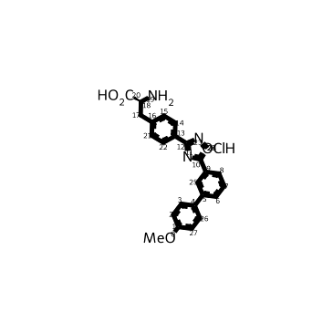 COc1ccc(-c2cccc(-c3nc(-c4ccc(C[C@H](N)C(=O)O)cc4)no3)c2)cc1.Cl